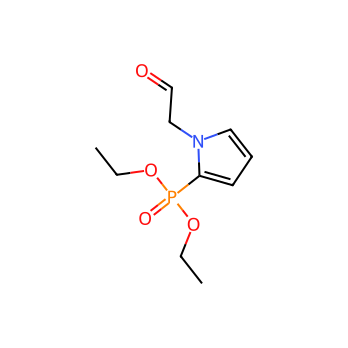 CCOP(=O)(OCC)c1cccn1CC=O